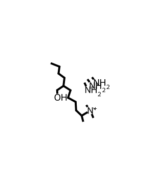 CCCCC(CO)CCCCC(C)[N+](C)(C)C.CN.CN.CN